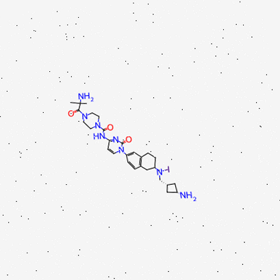 CC(C)(N)C(=O)N1CCN(C(=O)Nc2ccn(-c3ccc4c(c3)CCC(N(I)C[C@H]3C[C@@H](N)C3)C4)c(=O)n2)CC1